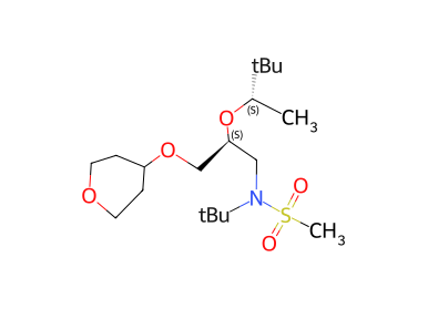 C[C@H](O[C@H](COC1CCOCC1)CN(C(C)(C)C)S(C)(=O)=O)C(C)(C)C